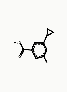 [CH2]c1cc(C(=O)OC)cc(C2CC2)c1